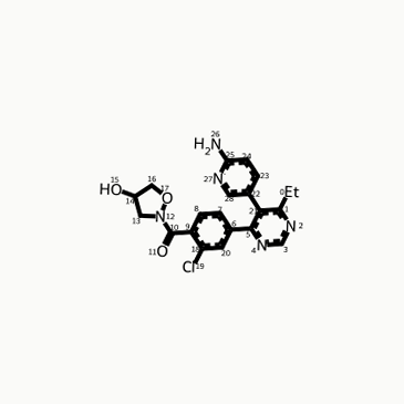 CCc1ncnc(-c2ccc(C(=O)N3CC(O)CO3)c(Cl)c2)c1-c1ccc(N)nc1